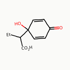 CCC(C(=O)O)C1(O)C=CC(=O)C=C1